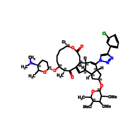 CC[C@H]1CCC[C@H](O[C@H]2CC[C@H](N(C)C)C(C)O2)[C@@H](C)C(=O)C2=C[C@@H]3[C@@H](C=C(n4cc(-c5cccc(Cl)c5)nn4)[C@@H]4C[C@@H](O[C@@H]5OC(C)[C@H](OC)C(OC)C5OC)C[C@@H]34)[C@@H]2CC(=O)O1